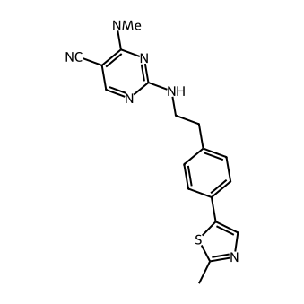 CNc1nc(NCCc2ccc(-c3cnc(C)s3)cc2)ncc1C#N